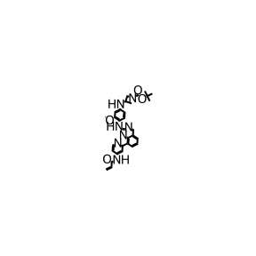 C=CC(=O)Nc1ccnc(-c2cccc3cnc(Nc4ccc(NC5CN(C(=O)OC(C)(C)C)C5)cc4OC)nc23)c1